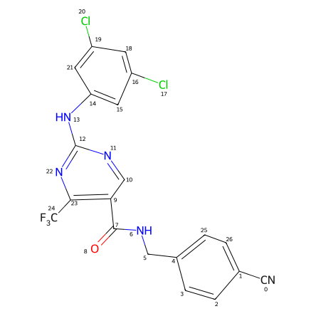 N#Cc1ccc(CNC(=O)c2cnc(Nc3cc(Cl)cc(Cl)c3)nc2C(F)(F)F)cc1